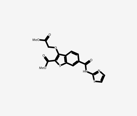 COC(=O)COc1c(C(=O)OC)sc2cc(C(=O)Nc3nccs3)ccc12